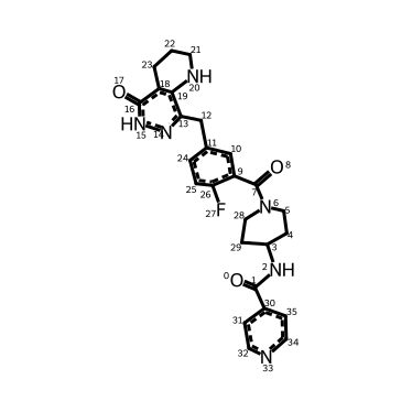 O=C(NC1CCN(C(=O)c2cc(Cc3n[nH]c(=O)c4c3NCCC4)ccc2F)CC1)c1ccncc1